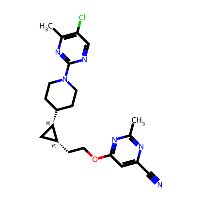 Cc1nc(C#N)cc(OCC[C@@H]2C[C@@H]2C2CCN(c3ncc(Cl)c(C)n3)CC2)n1